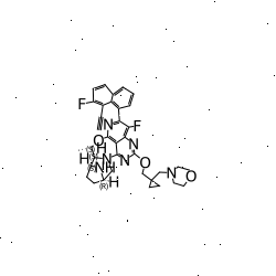 C#Cc1c(F)ccc2cccc(-c3nc4c5c(nc(OCC6(CN7CCOCC7)CC6)nc5c3F)N3C[C@H]5CC[C@H](N5)[C@H]3[C@H](C)O4)c12